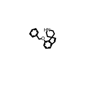 C1=CC2(CCNCC2)c2c1cccc2OCc1ccccc1